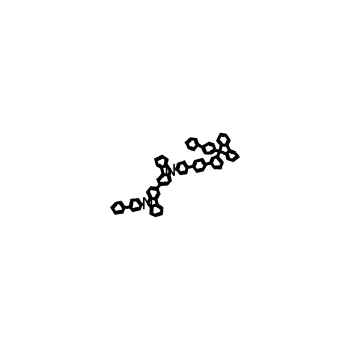 c1ccc(-c2ccc(-n3c4ccccc4c4cc(-c5ccc6c(c5)c5ccccc5n6-c5ccc(-c6ccc(-c7cccc(C8(c9ccc(-c%10ccccc%10)cc9)c9ccccc9-c9ccccc98)c7)cc6)cc5)ccc43)cc2)cc1